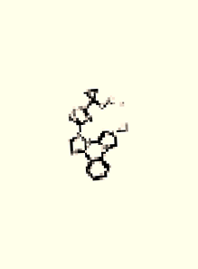 COC1(c2nc(N3CN=C4c5ccccc5N5CN(Cl)C=C5N43)no2)CC1